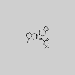 CC(C)(C)OC(=O)NC(Cc1cccs1)C(=O)NCc1cccc(Cl)c1F